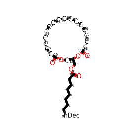 CCCCCCCCCCCCCCCCCC(=O)OCC1COC(=O)CCCCCCCCCCCCCCCCC(=O)O1